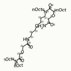 CCCCCCCCC(OCC(N)=O)C(=O)N(CCCCCCCC)CCCOCCCNC(=O)COCC(=O)N(CCCCCCCC)CCCCCCCC